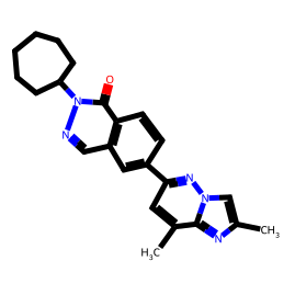 Cc1cn2nc(-c3ccc4c(=O)n(C5CCCCCC5)ncc4c3)cc(C)c2n1